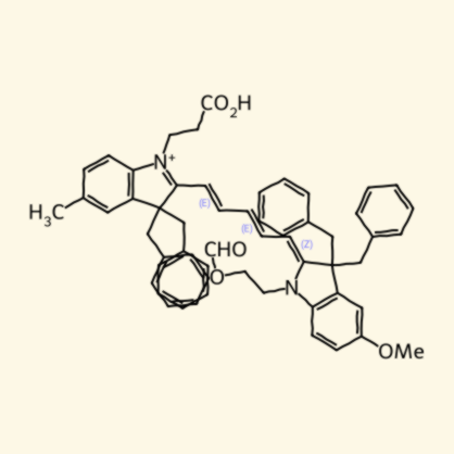 COc1ccc2c(c1)C(Cc1ccccc1)(Cc1ccccc1)/C(=C/C=C/C=C/C1=[N+](CCC(=O)O)c3ccc(C)cc3C1(Cc1ccccc1)Cc1ccccc1)N2CCOC=O